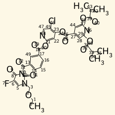 CCOCn1cc(F)c(=O)n(C(=O)c2cccc(C(=O)Oc3cc(OC(=O)c4cc(OC(=O)C(C)C)nc(OC(=O)C(C)C)c4)c(Cl)cn3)c2)c1=O